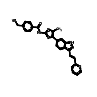 Cc1nc(NC(=O)c2ccc(CO)cc2)sc1-c1ccc2c(/C=C/c3ccccn3)n[nH]c2c1